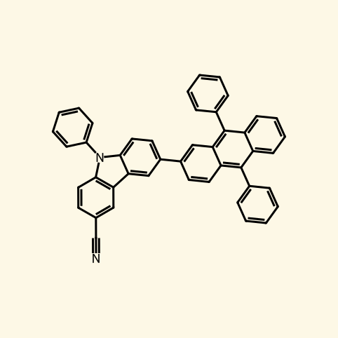 N#Cc1ccc2c(c1)c1cc(-c3ccc4c(-c5ccccc5)c5ccccc5c(-c5ccccc5)c4c3)ccc1n2-c1ccccc1